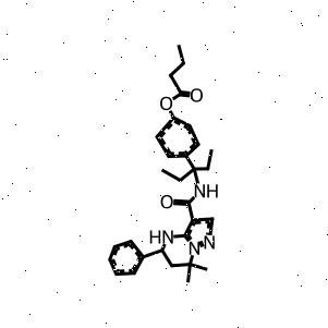 CCCC(=O)Oc1ccc(C(CC)(CC)NC(=O)c2cnn3c2NC(c2ccccc2)CC3(C)C)cc1